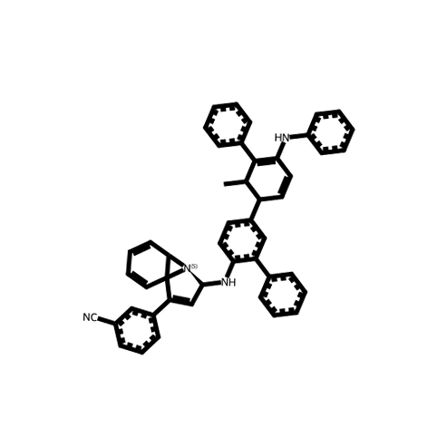 CC1C(c2ccccc2)=C(Nc2ccccc2)C=CC1c1ccc(NC2C=C(c3cccc(C#N)c3)C34C=CC=CC3[N@@]24)c(-c2ccccc2)c1